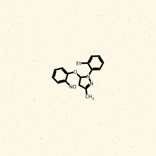 CCc1ccccc1N1N=C(C)CC1Oc1ccccc1N=O